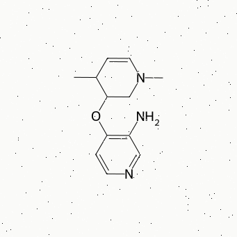 CC1C=CN(C)CC1Oc1ccncc1N